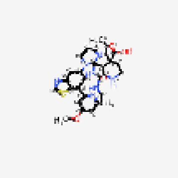 CCCC1(C(=O)O)CCNCC1C1(NC(=O)NCC)N=CC=CN1c1cc(-c2cc(OC)ccn2)c2scnc2c1